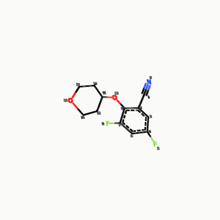 N#Cc1cc(F)cc(F)c1OC1CCOCC1